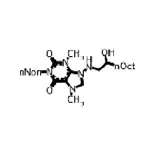 CCCCCCCCCn1c(=O)c2c(n(C)c1=O)N(NCC(O)CCCCCCCC)CN2C